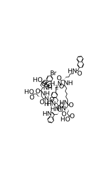 NC(=O)[C@H](CCCCNC(=O)c1ccc2ccccc2c1)NC(=O)CCCCCNC(=O)[C@H](CCC(=O)O)NC(=O)[C@H](Cc1c[nH]c2ccccc12)NC(=O)[C@H](Cc1cccc(F)c1)NC(=O)CNC(=O)[C@H](CCC(=O)O)NC(=O)[C@@H](CC(=O)O)NS(=O)(=O)c1ccc(Br)cc1